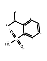 CC(C)c1ccccc1S(=O)(=O)O